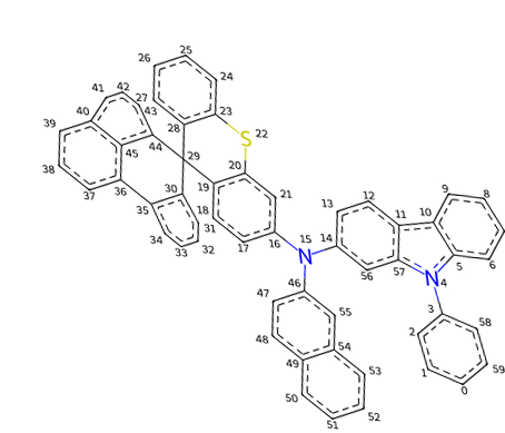 c1ccc(-n2c3ccccc3c3ccc(N(c4ccc5c(c4)Sc4ccccc4C54c5ccccc5-c5cccc6cccc4c56)c4ccc5ccccc5c4)cc32)cc1